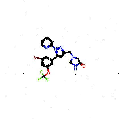 O=C1CN(Cc2cc(-c3cc(Br)cc(OC(F)(F)F)c3)n(-c3ccccn3)n2)CN1